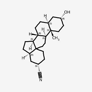 C[C@]12CC[C@@H](O)C[C@@H]1CC[C@H]1[C@@H]3CC[C@@H]4C[C@@H](C#N)CCC43CC[C@@H]12